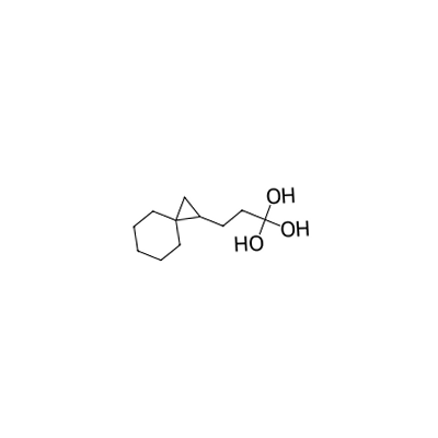 OC(O)(O)CCC1CC12CCCCC2